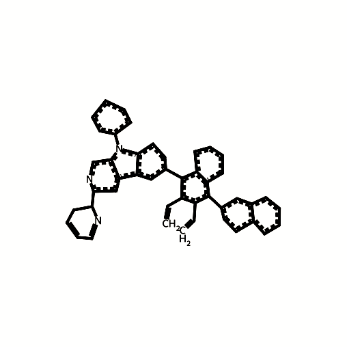 C=Cc1c(C=C)c(-c2ccc3c(c2)c2cc(C4CC=CC=N4)ncc2n3-c2ccccc2)c2ccccc2c1-c1ccc2ccccc2c1